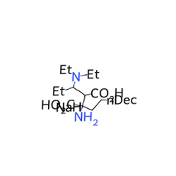 CCCCCCCCCCCCC(N)(C(=O)O)C(C(=O)O)C(CC)N(CC)CC.[NaH]